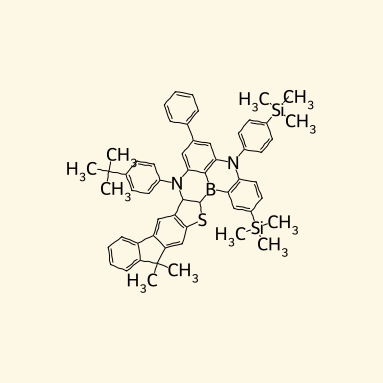 CC(C)(C)c1ccc(N2c3cc(-c4ccccc4)cc4c3B(c3cc([Si](C)(C)C)ccc3N4c3ccc([Si](C)(C)C)cc3)C3Sc4cc5c(cc4C32)-c2ccccc2C5(C)C)cc1